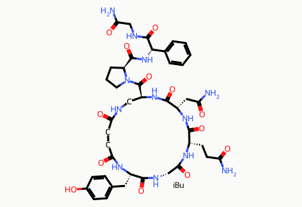 CC[C@H](C)[C@@H]1NC(=O)[C@H](Cc2ccc(O)cc2)NC(=O)CCC(=O)NC[C@@H](C(=O)N2CCC[C@H]2C(=O)N[C@H](C(=O)NCC(N)=O)c2ccccc2)NC(=O)[C@H](CC(N)=O)NC(=O)[C@H](CCC(N)=O)NC1=O